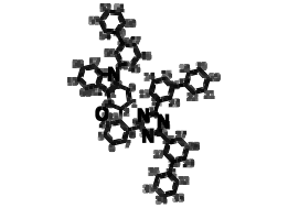 C1=CC2c3c(cccc3-c3nc(-c4cccc(-c5ccccc5)c4)nc(-c4cccc(-c5ccccc5)c4)n3)OC2c2c1n(-c1cccc(-c3ccccc3)c1)c1ccccc21